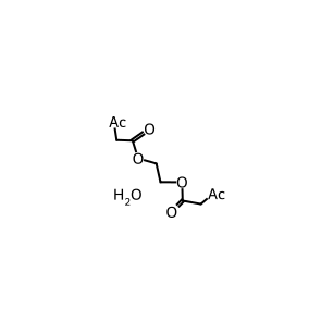 CC(=O)CC(=O)OCCOC(=O)CC(C)=O.O